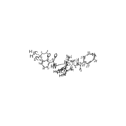 CC1(C)CCOc2c(C(=O)NC3CN4C(=N)N[C@@H](CNC(=O)c5ccncc5)C5NC(=N)NC54C3(O)O)cccc21